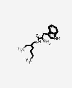 CCCCC(CC)CNC(=O)C(N)Cc1c[nH]c2ccccc12